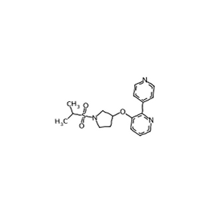 CC(C)S(=O)(=O)N1CCC(Oc2cccnc2-c2ccncc2)C1